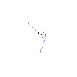 CCOCC[C@H](O)C=CC1C(O)CC2N=C(NCCCC(=O)O)CC21